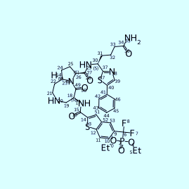 CCOP(=O)(OCC)C(F)(F)c1ccc2sc(C(=O)N[C@H]3CNCC[C@H]4CC[C@@H](C(=O)N[C@@H](CCCC(N)=O)c5ncc(-c6ccccc6)s5)N4C3=O)cc2c1